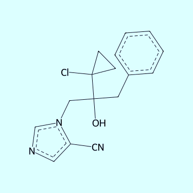 N#Cc1cncn1CC(O)(Cc1ccccc1)C1(Cl)CC1